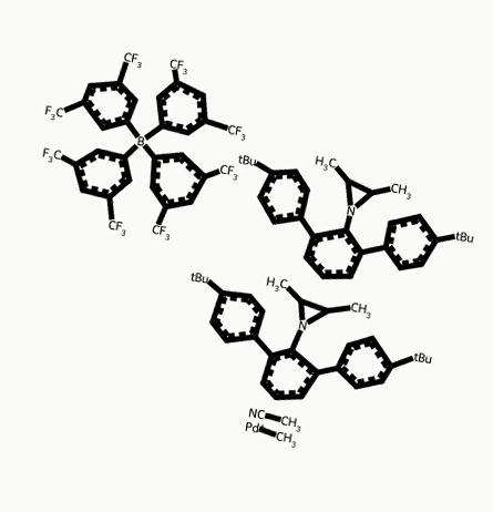 CC#N.CC1C(C)N1c1c(-c2ccc(C(C)(C)C)cc2)cccc1-c1ccc(C(C)(C)C)cc1.CC1C(C)N1c1c(-c2ccc(C(C)(C)C)cc2)cccc1-c1ccc(C(C)(C)C)cc1.FC(F)(F)c1cc([B-](c2cc(C(F)(F)F)cc(C(F)(F)F)c2)(c2cc(C(F)(F)F)cc(C(F)(F)F)c2)c2cc(C(F)(F)F)cc(C(F)(F)F)c2)cc(C(F)(F)F)c1.[CH3][Pd+]